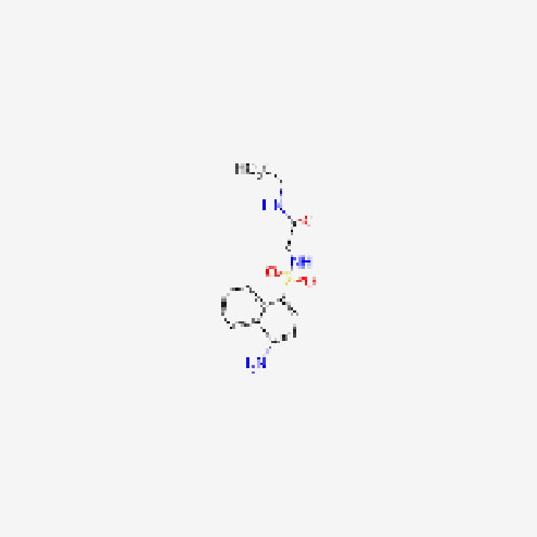 Nc1ccc(S(=O)(=O)NCC(=O)NCC(=O)O)c2ccccc12